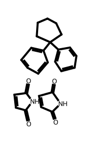 O=C1C=CC(=O)N1.O=C1C=CC(=O)N1.c1ccc(C2(c3ccccc3)CCCCC2)cc1